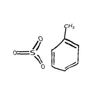 Cc1ccccc1.O=S(=O)=O